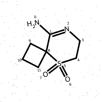 NC1=NCCS(=O)(=O)C12CCC2